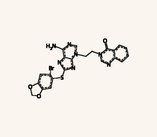 Nc1ncn(CCn2cnc3ccccc3c2=O)c2nc(Sc3cc4c(cc3Br)OCO4)nc1-2